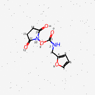 O=C(NCc1ccco1)ON1C(=O)CCC1=O